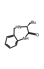 CCC(C)[C@@H]1NCc2ccccc2NC1=O